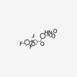 O=C1N[C@@H](c2cccc(C(=O)C3CO[C@@](CI)(c4ccc(F)cc4F)C3)c2)CO1